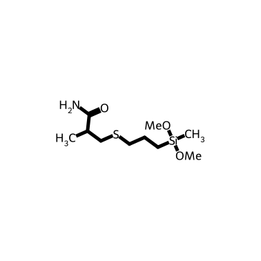 CO[Si](C)(CCCSCC(C)C(N)=O)OC